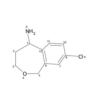 NC1CCOCc2cc(Cl)ccc21